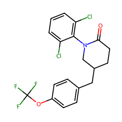 O=C1CCC(Cc2ccc(OC(F)(F)F)cc2)CN1c1c(Cl)cccc1Cl